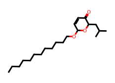 CCCCCCCCCCCCOC1C=CC(=O)C(CC(C)C)O1